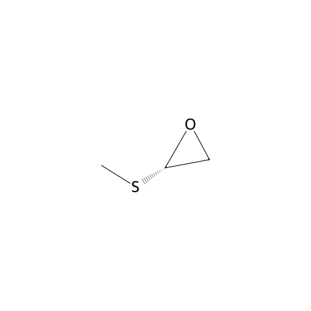 CS[C@H]1CO1